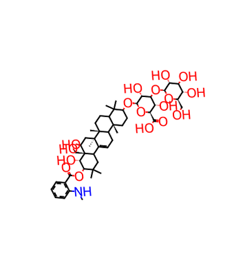 CNc1ccccc1C(=O)O[C@H]1[C@H](O)[C@@]2(CO)C(CC1(C)C)C1=CCC3[C@@]4(C)CC[C@H](O[C@@H]5O[C@H](C(=O)O)[C@@H](O)[C@H](O[C@@H]6O[C@H](CO)[C@@H](O)[C@H](O)[C@H]6O)[C@H]5O)C(C)(C)C4CC[C@@]3(C)[C@]1(C)C[C@@H]2O